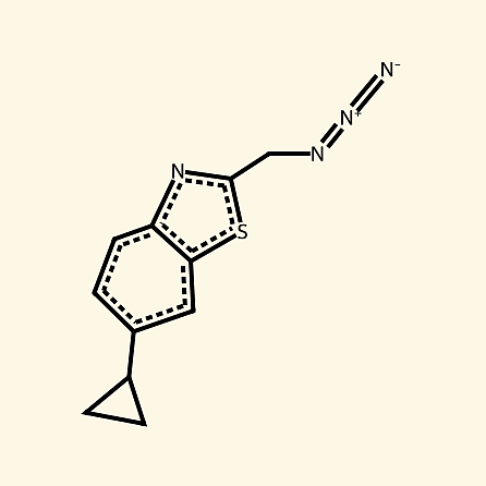 [N-]=[N+]=NCc1nc2ccc(C3CC3)cc2s1